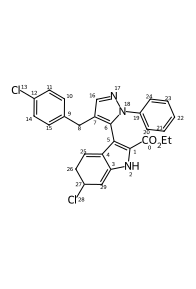 CCOC(=O)c1[nH]c2c(c1-c1c(Cc3ccc(Cl)cc3)cnn1-c1ccccc1)=CCC(Cl)C=2